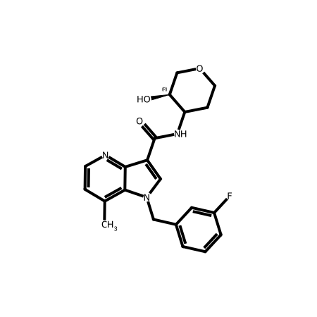 Cc1ccnc2c(C(=O)NC3CCOC[C@@H]3O)cn(Cc3cccc(F)c3)c12